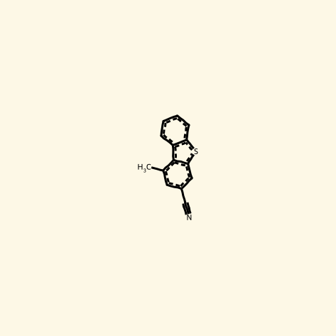 Cc1cc(C#N)cc2sc3ccccc3c12